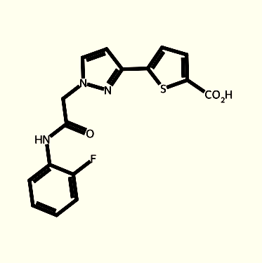 O=C(Cn1ccc(-c2ccc(C(=O)O)s2)n1)Nc1ccccc1F